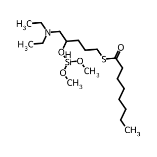 CCCCCCCC(=O)SCCCC(CN(CC)CC)O[SiH](OC)OC